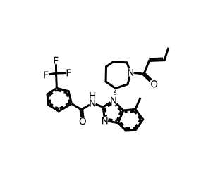 C/C=C/C(=O)N1CCCC[C@@H](n2c(NC(=O)c3cccc(C(F)(F)F)c3)nc3cccc(C)c32)C1